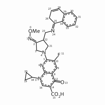 CON=C1CN(c2nc3c(cc2F)c(=O)c(C(=O)O)cn3C2CC2)CC1CN=C1CC=Cc2ccccc21